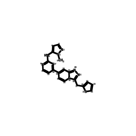 Cn1nccc1Nc1nccc(-c2ccn3c(Cc4cccs4)nnc3c2)n1